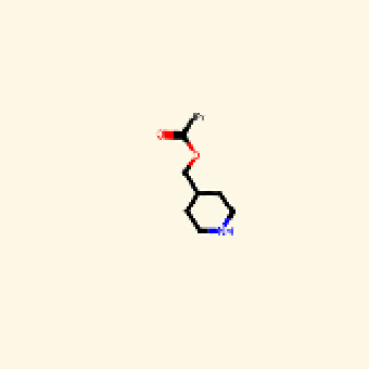 CC(C)C(=O)OCC1CCNCC1